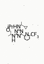 CC(COC(C)C)Nc1nc(NC(C)C2CC2)nc(-c2cccc(C(F)(F)F)n2)n1